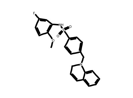 COc1ccc(F)cc1NS(=O)(=O)c1ccc(CN2CC=Cc3ccccc32)cc1